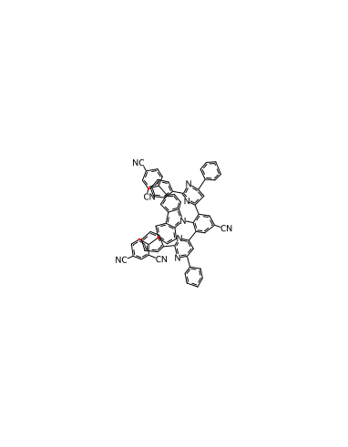 N#Cc1ccc(-c2ccc3c(c2)c2cc(-c4ccc(C#N)cc4C#N)ccc2n3-c2c(-c3cc(-c4ccccc4)nc(-c4ccccc4)n3)cc(C#N)cc2-c2cc(-c3ccccc3)nc(-c3ccccc3)n2)c(C#N)c1